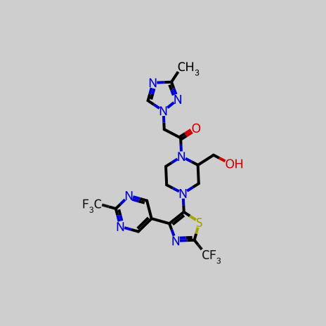 Cc1ncn(CC(=O)N2CCN(c3sc(C(F)(F)F)nc3-c3cnc(C(F)(F)F)nc3)CC2CO)n1